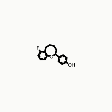 Oc1ccc(C2CCCCc3c(F)cccc3O2)cc1